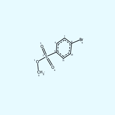 [CH2]OS(=O)(=O)c1ccc(Br)cc1